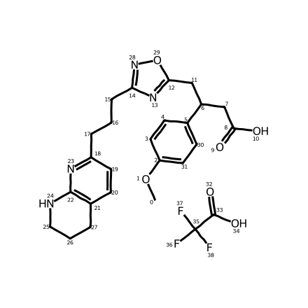 COc1ccc(C(CC(=O)O)Cc2nc(CCCc3ccc4c(n3)NCCC4)no2)cc1.O=C(O)C(F)(F)F